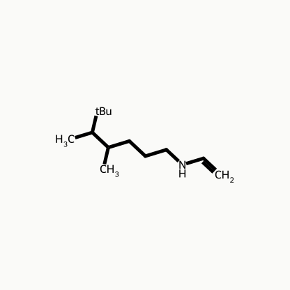 C=CNCCCC(C)C(C)C(C)(C)C